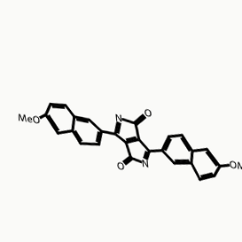 COc1ccc2cc(-c3nc(=O)c4c(-c5ccc6cc(OC)ccc6c5)nc(=O)c3=4)ccc2c1